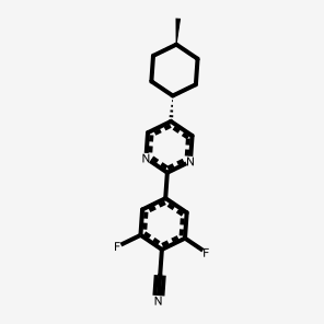 C[C@H]1CC[C@H](c2cnc(-c3cc(F)c(C#N)c(F)c3)nc2)CC1